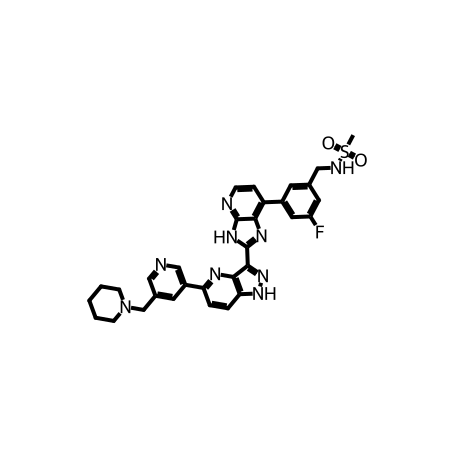 CS(=O)(=O)NCc1cc(F)cc(-c2ccnc3[nH]c(-c4n[nH]c5ccc(-c6cncc(CN7CCCCC7)c6)nc45)nc23)c1